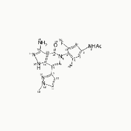 CC(=O)Nc1cc(F)c(-n2cc(-c3ccn(C)n3)c3[nH]nc(N)c3c2=O)c(F)c1